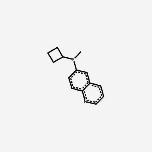 CP(c1ccc2ncccc2c1)C1CCC1